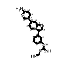 N=CSC(=N)Nc1cccc(-c2cnc3cc(-c4ccc(N)nc4)ccn23)c1